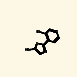 Oc1cnc(-c2ccncc2O)s1